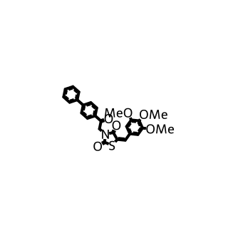 COc1cc(C=C2SC(=O)N(CC(=O)c3ccc(-c4ccccc4)cc3)C2=O)cc(OC)c1OC